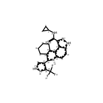 O=C(NC1CC1)c1n[nH]c2ccc3nc(-c4c[nH]nc4C(F)(F)F)c4c(c3c12)CCCC4